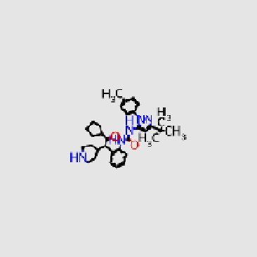 Cc1ccc(-n2nc(C(C)(C)C)cc2NC(=O)Nc2ccccc2C(C(=O)C2CCCC2)C2CCNCC2)cc1